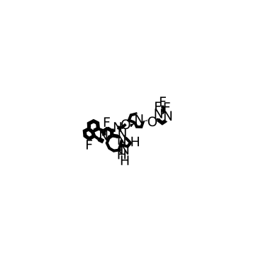 C#Cc1c(F)ccc2cccc(-c3nc4c5c(nc(OC[C@@]67CCCN6[C@H](COc6ccnc(C(F)(F)F)n6)CC7)nc5c3F)N3C[C@H]5CC3[C@@H](CCC4)N5)c12